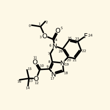 CC(C)OC(=O)N1Cc2c(C(=O)OC(C)(C)C)ncn2-c2ccc(F)cc21